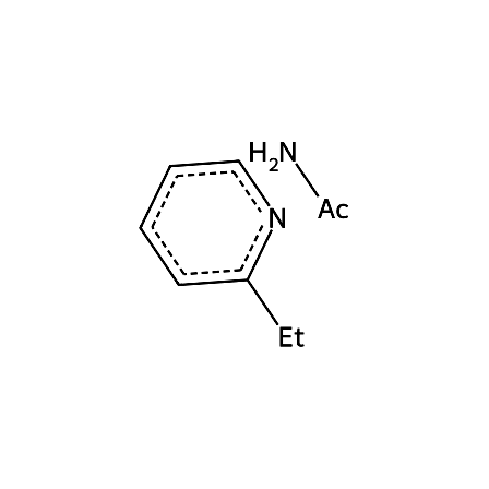 CC(N)=O.CCc1ccccn1